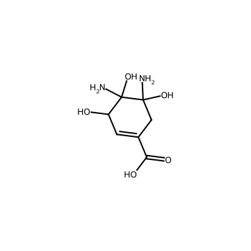 NC1(O)CC(C(=O)O)=CC(O)C1(N)O